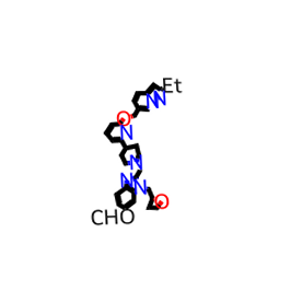 CCc1cc2ccc(COc3cccc(C4CCN(Cc5nc6ccc(C=O)cc6n5CC5CCO5)CC4)n3)cn2n1